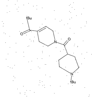 CC(C)(C)C(=O)C1=CCN(C(=O)C2CCN(C(C)(C)C)CC2)CC1